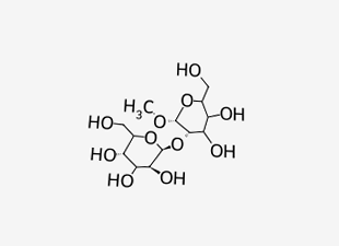 CO[C@@H]1OC(CO)C(O)C(O)[C@@H]1O[C@@H]1OC(CO)[C@@H](O)C(O)[C@@H]1O